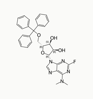 CN(C)c1nc(F)nc2c1ncn2[C@@H]1O[C@H](COC(c2ccccc2)(c2ccccc2)c2ccccc2)[C@@H](O)[C@H]1O